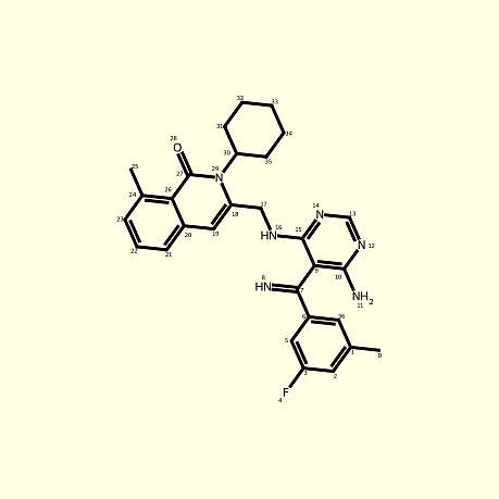 Cc1cc(F)cc(C(=N)c2c(N)ncnc2NCc2cc3cccc(C)c3c(=O)n2C2CCCCC2)c1